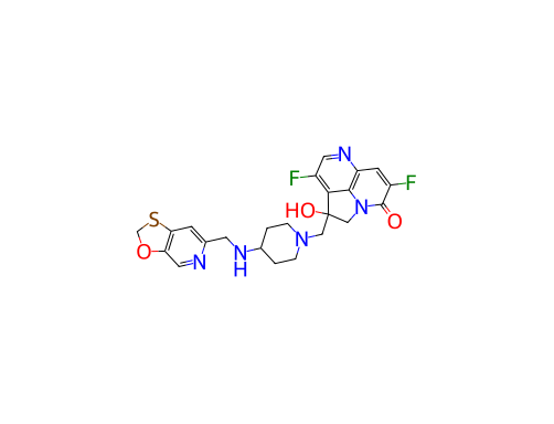 O=c1c(F)cc2ncc(F)c3c2n1CC3(O)CN1CCC(NCc2cc3c(cn2)OCS3)CC1